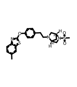 Cc1ccc2nc(Oc3ccc(CCN4C[C@H]5C[C@@H]4CN5S(C)(=O)=O)cc3)sc2c1